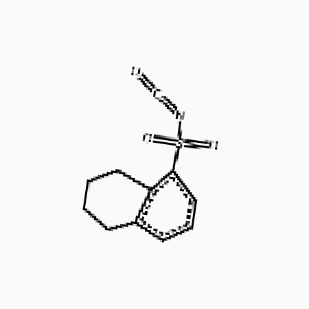 O=C=NS(=O)(=O)c1cccc2c1CCCC2